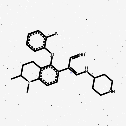 CC1CCc2c(ccc(/C(C=N)=C/NC3CCNCC3)c2Oc2ccccc2F)N1C